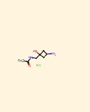 COC(=O)NCC1(O)CC(N)C1.Cl